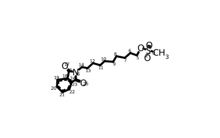 CS(=O)(=O)OCCCCCCCCCCN1C(=O)c2ccccc2C1=O